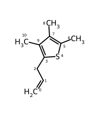 C=CCc1sc(C)c(C)c1C